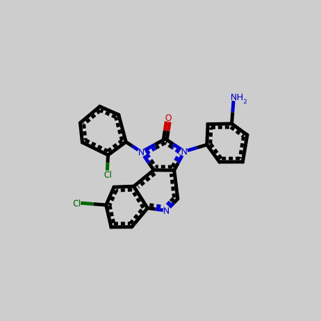 Nc1cccc(-n2c(=O)n(-c3ccccc3Cl)c3c4cc(Cl)ccc4ncc32)c1